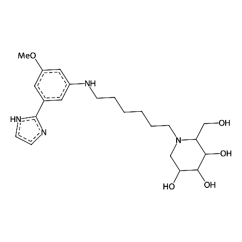 COc1cc(NCCCCCCN2CC(O)C(O)C(O)C2CO)cc(-c2ncc[nH]2)c1